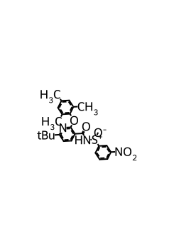 Cc1cc(C)c(Oc2nc(C(C)(C)C)ccc2C(=O)N[S+]([O-])c2cccc([N+](=O)[O-])c2)c(C)c1